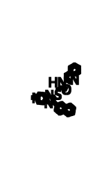 CN1CCC2(CC1)N=C(SCC(=O)Nc1cnc3ccccc3c1)C(c1ccc3ccccc3c1)=N2